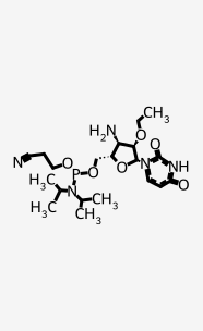 CCO[C@@H]1[C@H](N)[C@@H](COP(OCCC#N)N(C(C)C)C(C)C)O[C@H]1n1ccc(=O)[nH]c1=O